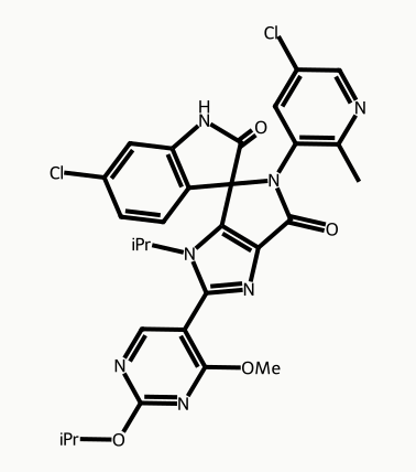 COc1nc(OC(C)C)ncc1-c1nc2c(n1C(C)C)C1(C(=O)Nc3cc(Cl)ccc31)N(c1cc(Cl)cnc1C)C2=O